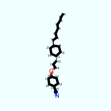 CCCCCCCC[C@H]1CC[C@H](CCCOC2CCC(C#N)CC2)CC1